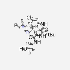 C=C(/C=C\C=C(\F)CF)[C@H]1[C@H](C(=O)N[C@H]2C[C@@](C)(O)C2)N[C@H](CC(C)(C)C)[C@]12C(=O)Nc1cc(Cl)ccc12